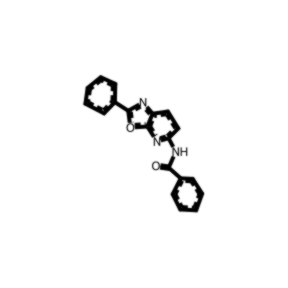 O=C(Nc1ccc2nc(-c3ccccc3)oc2n1)c1ccccc1